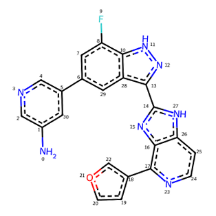 Nc1cncc(-c2cc(F)c3[nH]nc(-c4nc5c(-c6ccoc6)nccc5[nH]4)c3c2)c1